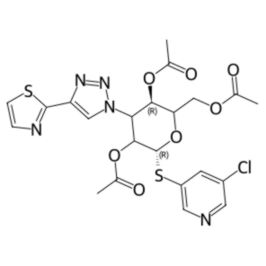 CC(=O)OCC1O[C@H](Sc2cncc(Cl)c2)C(OC(C)=O)C(n2cc(-c3nccs3)nn2)[C@H]1OC(C)=O